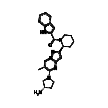 Cc1cn2nc([C@@H]3CCCCN3C(=O)c3cc4ccccc4[nH]3)cc2nc1N1CC[C@H](N)C1